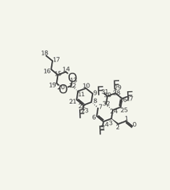 C=CC[C@@H](/C(F)=C\C[C@H]1CC[C@@H](C2OCC(CCC)CO2)C=C1F)[C@H]1C=C(F)[C@@H](F)C(F)C1